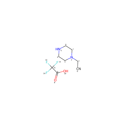 N#CCN1CCNCC1.O=C(O)C(F)(F)F